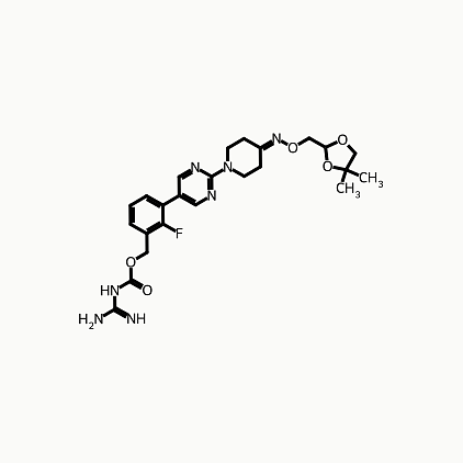 CC1(C)COC(CON=C2CCN(c3ncc(-c4cccc(COC(=O)NC(=N)N)c4F)cn3)CC2)O1